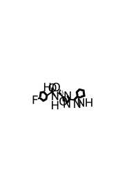 O=C(N[C@@H](CO)c1nc(-c2n[nH]c3ccccc23)no1)c1ccc(F)cc1